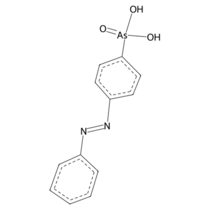 O=[As](O)(O)c1ccc(/N=N/c2ccccc2)cc1